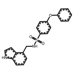 O=S(=O)(NCc1cccc2[nH]ccc12)c1ccc(Oc2ccccc2)cc1